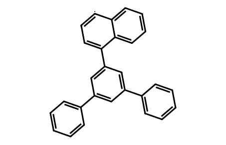 [c]1ccc(-c2cc(-c3ccccc3)cc(-c3ccccc3)c2)c2ccccc12